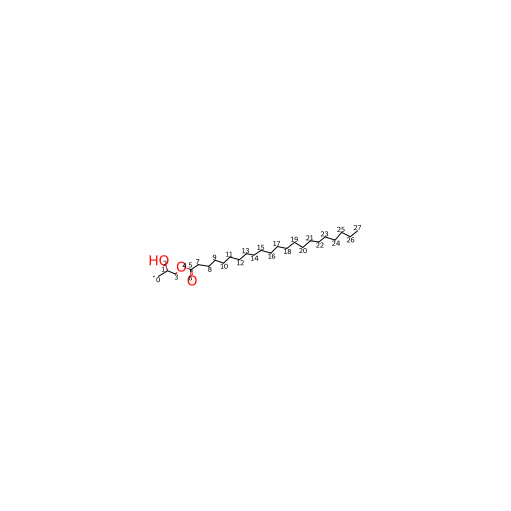 [CH2]C(O)COC(=O)CCCCCCCCCCCCCCCCCCCCC